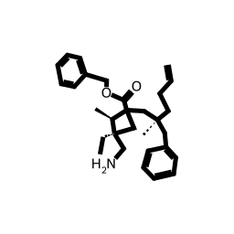 C=CCC[C@@](C)(Cc1ccccc1)CC1(C(=O)OCc2ccccc2)C[C@@](CC)(CN)[C@H]1C